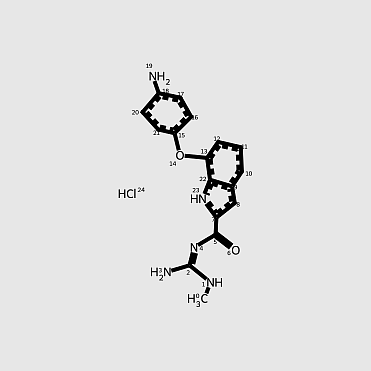 CNC(N)=NC(=O)c1cc2cccc(Oc3ccc(N)cc3)c2[nH]1.Cl